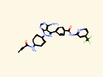 CC#CC(=O)NC1CCC(n2nc(-c3ccc(C(=O)Nc4cc(C(F)(F)F)ccn4)cc3)c3c(N)ncnc32)CC1